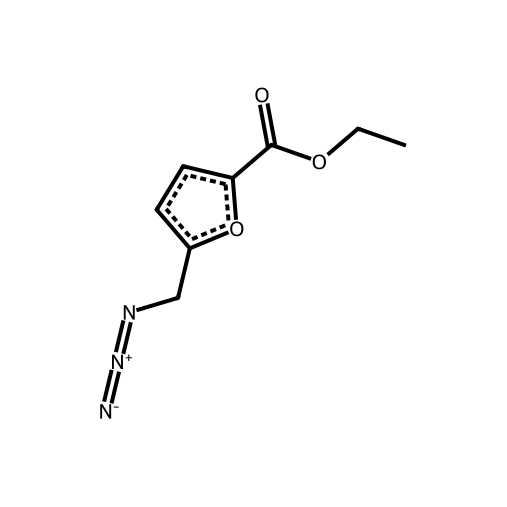 CCOC(=O)c1ccc(CN=[N+]=[N-])o1